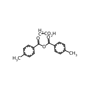 CC(=O)O.Cc1ccc(C(=O)OC(=O)c2ccc(C)cc2)cc1